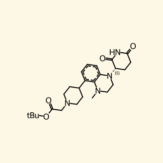 CN1CCN([C@H]2CCC(=O)NC2=O)c2cccc(C3CCN(CC(=O)OC(C)(C)C)CC3)c21